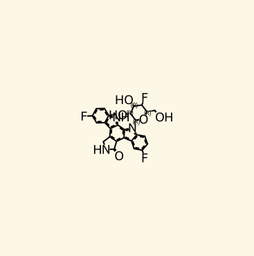 O=C1NCc2c1c1c3cc(F)ccc3n([C@@H]3O[C@H](CO)C(F)[C@H](O)[C@H]3O)c1c1[nH]c3ccc(F)cc3c21